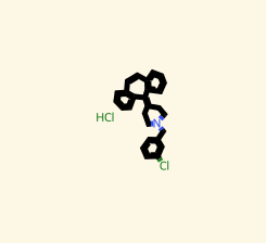 Cl.Clc1cccc(CN2CCC(=C3c4ccccc4C=Cc4ccccc43)CC2)c1